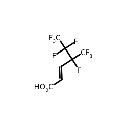 O=C(O)C=CC(F)(C(F)(F)F)C(F)(F)C(F)(F)F